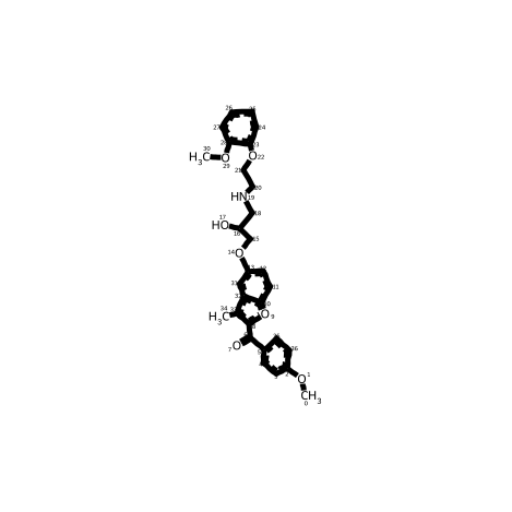 COc1ccc(C(=O)c2oc3ccc(OCC(O)CNCCOc4ccccc4OC)cc3c2C)cc1